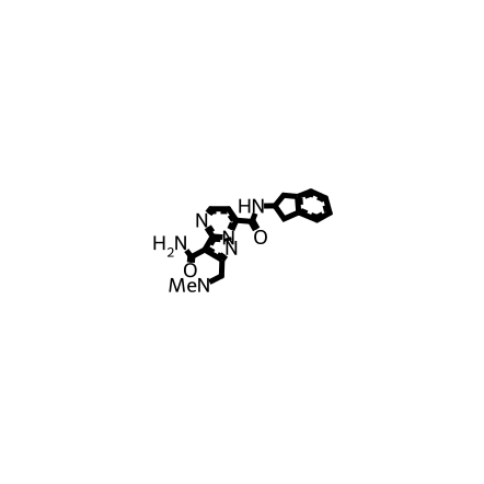 CNCc1nn2c(C(=O)NC3Cc4ccccc4C3)ccnc2c1C(N)=O